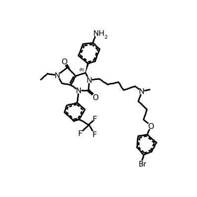 CCN1CC2=C(C1=O)[C@@H](c1ccc(N)cc1)N(CCCCCN(C)CCCOc1ccc(Br)cc1)C(=O)N2c1cccc(C(F)(F)F)c1